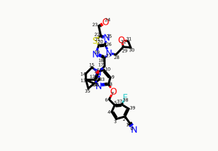 N#Cc1ccc(COc2cccc(C34CCN(Cc5nc6sc(C=O)nc6n5CC5CCO5)CC3C4)n2)c(F)c1